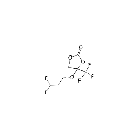 O=C1OCC(OCC=C(F)F)(C(F)(F)F)O1